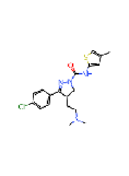 Cc1csc(NC(=O)N2CC(CCN(C)C)C(c3ccc(Cl)cc3)=N2)c1